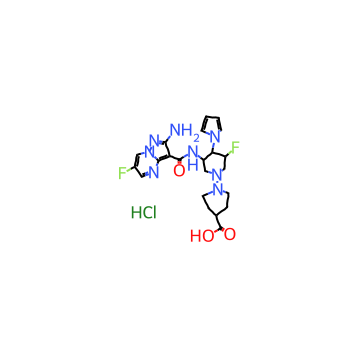 Cl.Nc1nn2cc(F)cnc2c1C(=O)NC1CN(N2CCC(C(=O)O)CC2)CC(F)C1n1cccc1